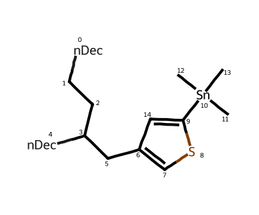 CCCCCCCCCCCCC(CCCCCCCCCC)Cc1cs[c]([Sn]([CH3])([CH3])[CH3])c1